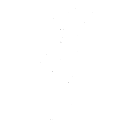 N#Cc1ccc2c(c1)c1ccccc1n2-c1ccc(-c2ccc(-c3ccccc3-n3c4ccccc4c4cc(C#N)ccc43)cc2C#N)cc1